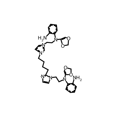 Nc1ccccc1N(CCN1C=C[N+]=C1CCCC[n+]1ccn(CCN(C2=COCO2)c2ccccc2N)c1)C1=COCO1